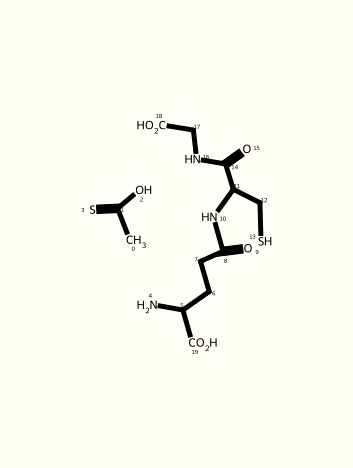 CC(O)=S.NC(CCC(=O)NC(CS)C(=O)NCC(=O)O)C(=O)O